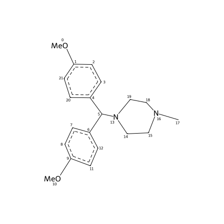 COc1ccc(C(c2ccc(OC)cc2)N2CCN(C)CC2)cc1